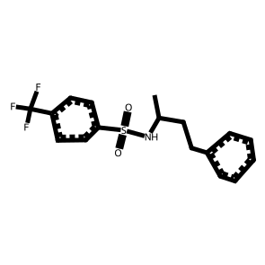 CC(CCc1ccccc1)NS(=O)(=O)c1ccc(C(F)(F)F)cc1